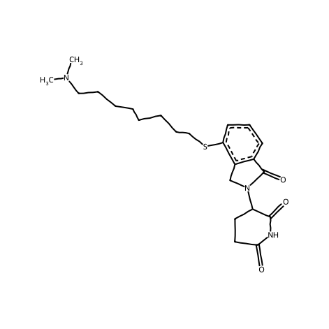 CN(C)CCCCCCCCSc1cccc2c1CN(C1CCC(=O)NC1=O)C2=O